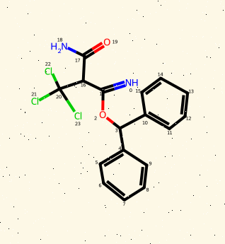 N=C(OC(c1ccccc1)c1ccccc1)C(C(N)=O)C(Cl)(Cl)Cl